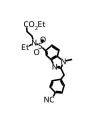 CCOC(=O)CCN(CC)S(=O)(=O)c1ccc2c(c1)nc(Cc1ccc(C#N)cc1)n2C